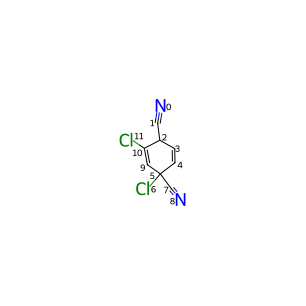 N#CC1C=CC(Cl)(C#N)C=C1Cl